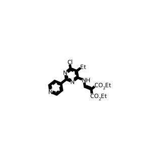 CCOC(=O)C(=CNc1nc(-c2ccncc2)nc(Cl)c1CC)C(=O)OCC